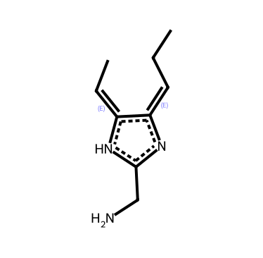 C/C=c1/[nH]c(CN)n/c1=C/CC